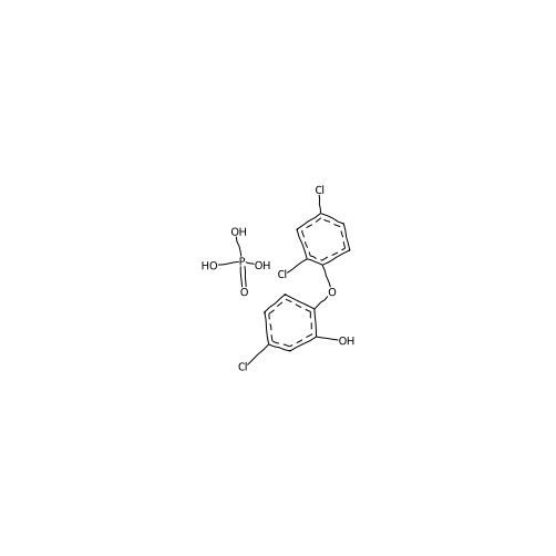 O=P(O)(O)O.Oc1cc(Cl)ccc1Oc1ccc(Cl)cc1Cl